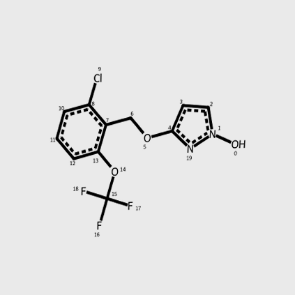 On1ccc(OCc2c(Cl)cccc2OC(F)(F)F)n1